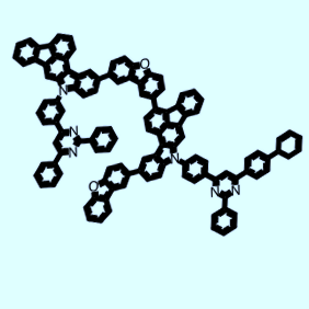 C1=CCC(c2ccc(-c3cc(-c4ccc(-n5c6ccc(-c7ccc8oc9ccccc9c8c7)cc6c6c7ccc(-c8ccc9oc%10ccc(-c%11ccc%12c(c%11)c%11c%13cccc%14c%13c(cc%11n%12-c%11cccc(-c%12cc(-c%13ccccc%13)nc(-c%13ccccc%13)n%12)c%11)-c%11ccccc%11-%14)cc%10c9c8)c8c7c(cc65)-c5ccccc5-8)cc4)nc(-c4ccccc4)n3)cc2)C=C1